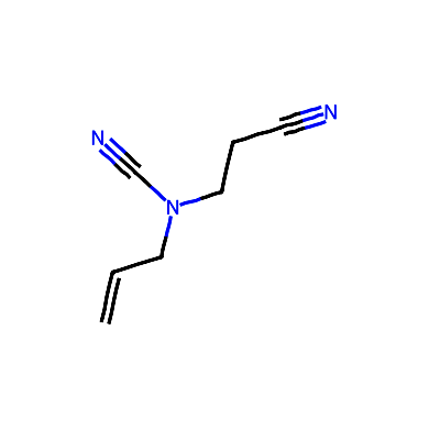 C=CCN(C#N)CCC#N